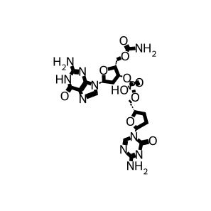 NC(=O)OC[C@H]1O[C@@H](n2cnc3c(=O)[nH]c(N)nc32)C[C@H]1OP(=O)(O)OC[C@@H]1CC[C@H](n2cnc(N)nc2=O)O1